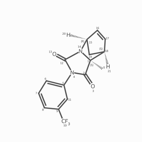 C[C@]12C(=O)N(c3cccc(C(F)(F)F)c3)C(=O)N1[C@H]1C=C[C@@H]2C1